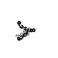 O=C(N[C@H](Cc1ccc2c(c1)CCCC2)C(=O)N1CCN(C2CCN(Cc3ccccc3)CC2)CC1)N1CCC(N2CCc3ccccc3NC2=O)CC1